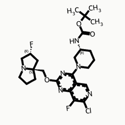 CC(C)(C)OC(=O)N[C@@H]1CCCN(c2nc(OC[C@@]34CCCN3C[C@H](F)C4)nc3c(F)c(Cl)ncc23)C1